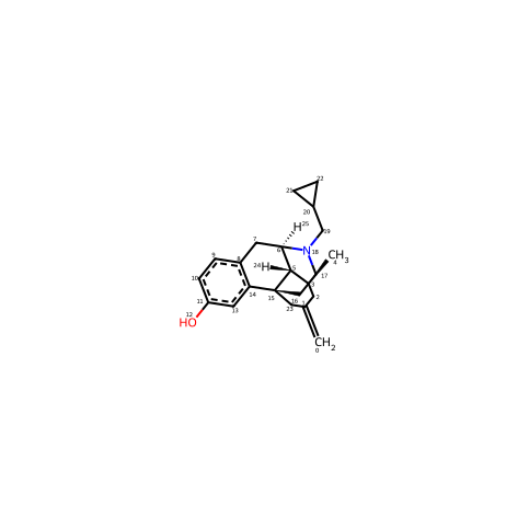 C=C1C[C@H](C)[C@H]2[C@H]3Cc4ccc(O)cc4[C@@]2(CCN3CC2CC2)C1